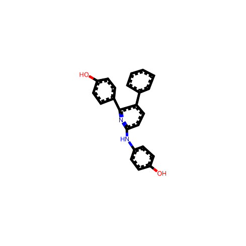 Oc1ccc(Nc2ccc(-c3ccccc3)c(-c3ccc(O)cc3)n2)cc1